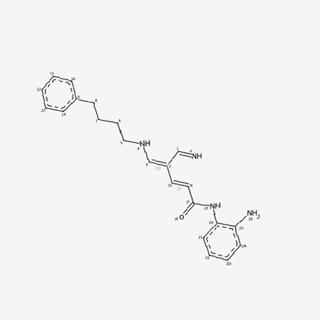 N=CC(=C\NCCCCc1ccccc1)/C=C/C(=O)Nc1ccccc1N